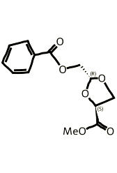 COC(=O)[C@@H]1CO[C@@H](COC(=O)c2ccccc2)O1